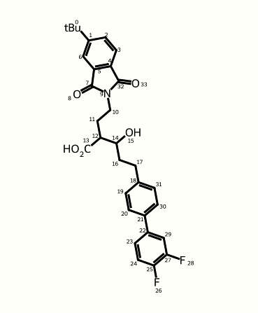 CC(C)(C)c1ccc2c(c1)C(=O)N(CCC(C(=O)O)C(O)CCc1ccc(-c3ccc(F)c(F)c3)cc1)C2=O